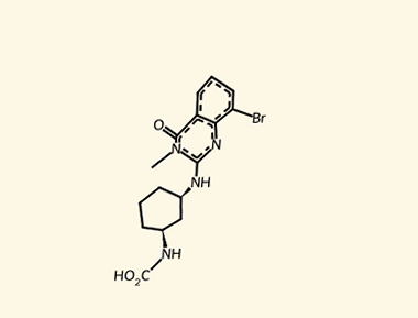 Cn1c(N[C@@H]2CCC[C@H](NC(=O)O)C2)nc2c(Br)cccc2c1=O